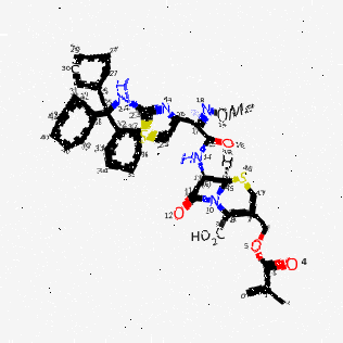 C=C(C)C(=O)OCC1=C(C(=O)O)N2C(=O)[C@@H](NC(=O)/C(=N\OC)c3csc(NC(c4ccccc4)(c4ccccc4)c4ccccc4)n3)[C@H]2SC1